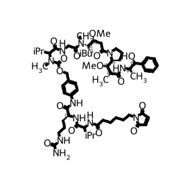 CC[C@H](C)[C@@H]([C@@H](CC(=O)N1CCC[C@H]1[C@H](OC)[C@@H](C)C(=O)N[C@H](C)[C@@H](O)c1ccccc1)OC)N(C)C(=O)CNC(=O)C(C(C)C)N(C)C(=O)OCc1ccc(NC(=O)[C@H](CCCNC(N)=O)NC(=O)C(NC(=O)CCCCCN2C(=O)C=CC2=O)C(C)C)cc1